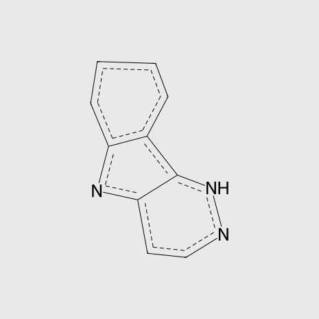 c1ccc2c3[nH]nccc-3nc2c1